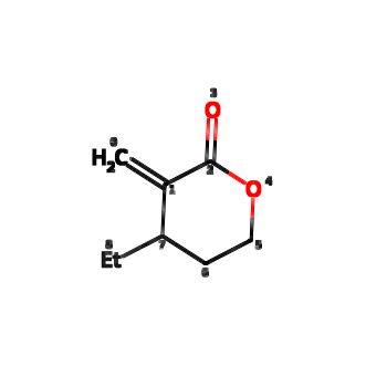 C=C1C(=O)OCCC1CC